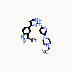 CC(C)c1c2cc(-c3nc(Nc4ccc(N5CCN(CC#N)CC5)cn4)ncc3F)ccc2nn1C